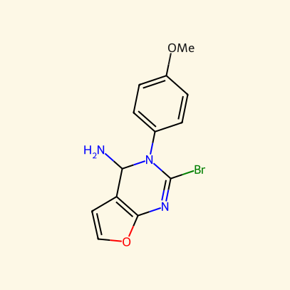 COc1ccc(N2C(Br)=Nc3occc3C2N)cc1